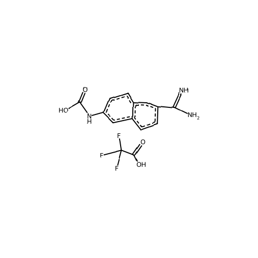 N=C(N)c1ccc2cc(NC(=O)O)ccc2c1.O=C(O)C(F)(F)F